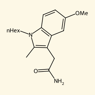 CCCCCCn1c(C)c(CC(N)=O)c2cc(OC)ccc21